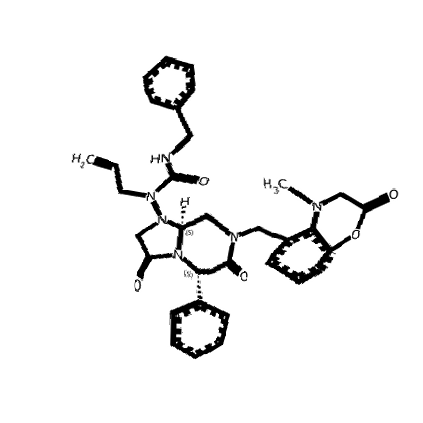 C=CCN(C(=O)NCc1ccccc1)N1CC(=O)N2[C@@H](c3ccccc3)C(=O)N(Cc3cccc4c3N(C)CC(=O)O4)C[C@@H]21